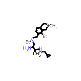 C=C(CNCC1CC1)C(N)CN(CC)CCc1ccc2c(c1CC)CB(C)CC2